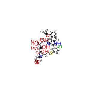 O=C([C@@H](O)[C@@H](O)[C@H](O)[C@@H](O)CO)N(CCCCSc1ccc(Cl)c(CNC2(c3cnccc3-c3ccccc3OC3CC3)CC2)c1)C1CCOOC1